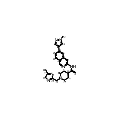 C=C(Nc1cc2cc(-c3cnn(C)c3)ccc2cn1)C1CCN(CC2=NCC(C)=N2)CC1